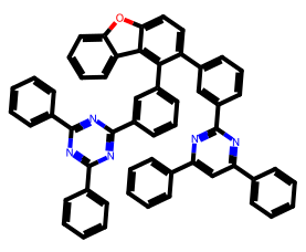 c1ccc(-c2cc(-c3ccccc3)nc(-c3cccc(-c4ccc5oc6ccccc6c5c4-c4cccc(-c5nc(-c6ccccc6)nc(-c6ccccc6)n5)c4)c3)n2)cc1